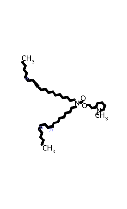 CCCCC/C=C\CC#CCCCCCCCCCCN(CCCCCCCC/C=C\C/C=C\CCCCC)C(=O)OCCC1CCCCN1C